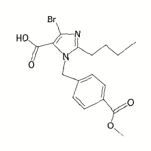 CCCCc1nc(Br)c(C(=O)O)n1Cc1ccc(C(=O)OC)cc1